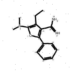 CCc1c(N(C)C)oc(-c2ccccc2)c1C(=N)N